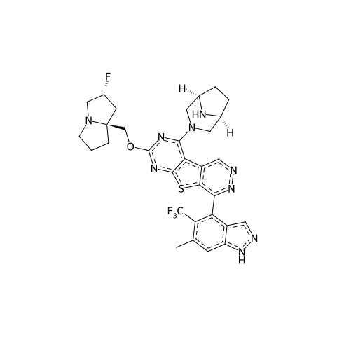 Cc1cc2[nH]ncc2c(-c2nncc3c2sc2nc(OC[C@@]45CCCN4C[C@H](F)C5)nc(N4C[C@H]5CC[C@@H](C4)N5)c23)c1C(F)(F)F